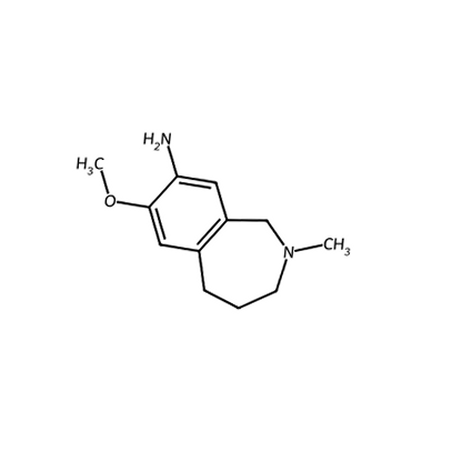 COc1cc2c(cc1N)CN(C)CCC2